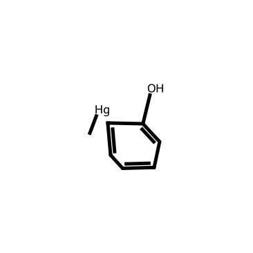 Oc1ccccc1.[CH3][Hg]